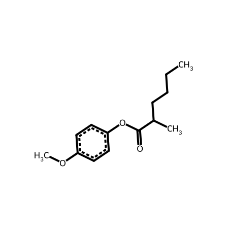 CCCCC(C)C(=O)Oc1ccc(OC)cc1